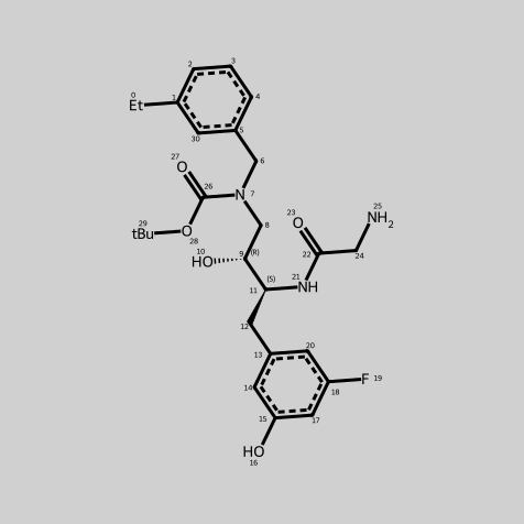 CCc1cccc(CN(C[C@@H](O)[C@H](Cc2cc(O)cc(F)c2)NC(=O)CN)C(=O)OC(C)(C)C)c1